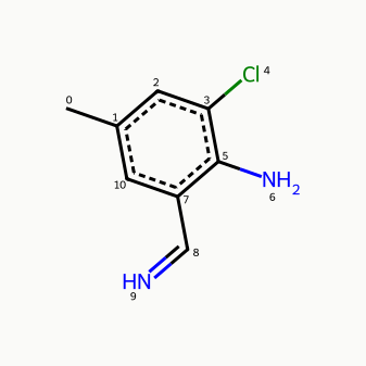 Cc1cc(Cl)c(N)c(C=N)c1